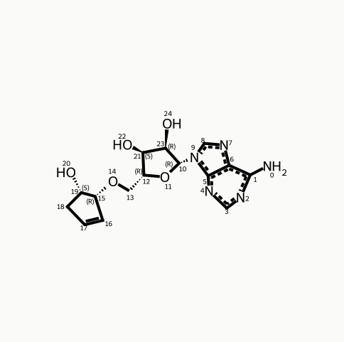 Nc1ncnc2c1ncn2[C@@H]1O[C@H](CO[C@@H]2C=CC[C@@H]2O)[C@@H](O)[C@H]1O